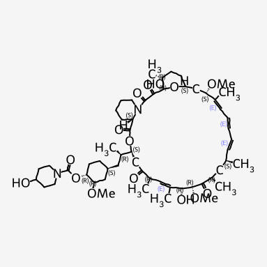 CO[C@H]1C[C@@H]2CC[C@@H](C)[C@@](O)(O2)C(=O)C(=O)N2CCCC[C@H]2C(=O)O[C@H]([C@H](C)C[C@@H]2CC[C@@H](OC(=O)N3CCC(O)CC3)[C@H](OC)C2)CC(=O)[C@H](C)/C=C(\C)[C@@H](O)[C@@H](OC)C(=O)[C@H](C)C[C@H](C)/C=C/C=C/C=C/1C